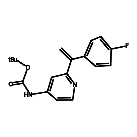 C=C(c1ccc(F)cc1)c1cc(NC(=O)OC(C)(C)C)ccn1